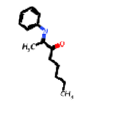 CCCCCC(=O)/C(C)=N/c1ccccc1